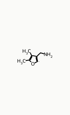 Cc1o[c]c(CN)c1C